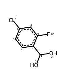 OC(O)c1ccc(Cl)cc1F